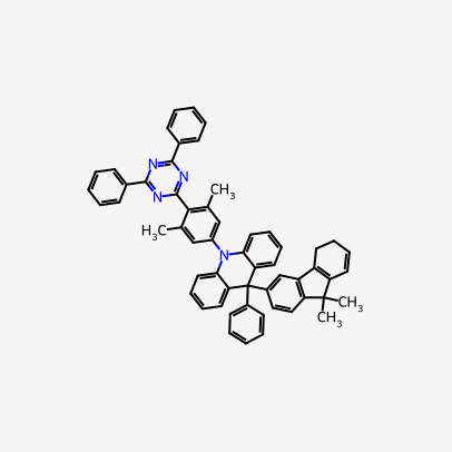 Cc1cc(N2c3ccccc3C(c3ccccc3)(c3ccc4c(c3)C3=C(C=CCC3)C4(C)C)c3ccccc32)cc(C)c1-c1nc(-c2ccccc2)nc(-c2ccccc2)n1